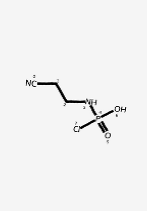 N#CCCNP(=O)(O)Cl